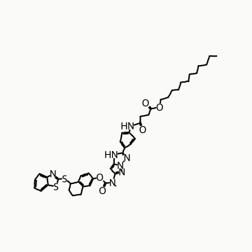 CCCCCCCCCCCCOC(=O)CCC(=O)Nc1ccc(-c2nn3nc(N(C)C(=O)Oc4ccc5c(c4)CCCC5Sc4nc5ccccc5s4)cc3[nH]2)cc1